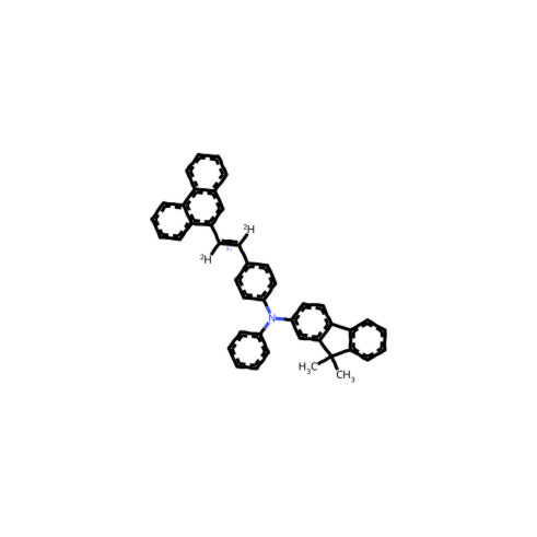 [2H]/C(=C(/[2H])c1cc2ccccc2c2ccccc12)c1ccc(N(c2ccccc2)c2ccc3c(c2)C(C)(C)c2ccccc2-3)cc1